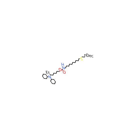 CCCCCCCCCCCCSCCCCCCCCCCNC(=O)OCCCCCC(CC)N(C1CCCCC1)C1CCCCC1